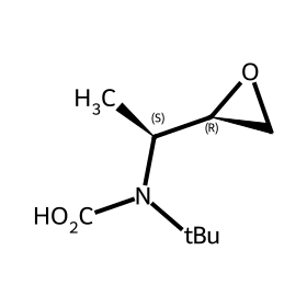 C[C@@H]([C@@H]1CO1)N(C(=O)O)C(C)(C)C